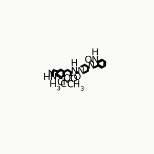 CC(C)OC(=O)C(Cc1cc(Cl)c2[nH]ncc2c1)NC(=O)N1CCC(N2Cc3ccccc3NC2=O)CC1